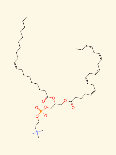 CC/C=C\C/C=C\C/C=C\C/C=C\C/C=C\CCCC(=O)OC[C@H](COP(=O)([O-])OCC[N+](C)(C)C)OC(=O)CCCCCCC/C=C\CCCCCCCCC